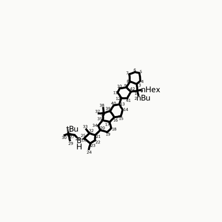 CCCCCCC1(CCCC)C2CCCCC2C2CCC(C3CCC4C5CCC(C6CC(C)[C@H](BCC(C)(C)C(C)(C)C)C6C)CC5C(C)(C)C4C3)CC21